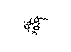 CCCCc1ncc(C=C2C(=O)Nc3ccc(C)cc32)n1Cc1ccc(C(=O)O)cc1